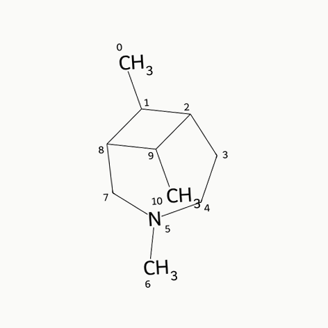 CC1C2CCN(C)CC1C2C